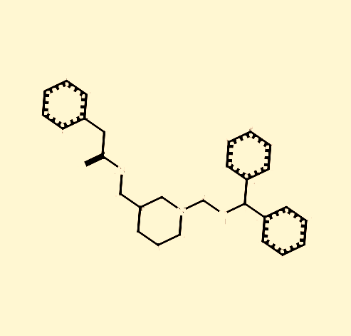 O=C(Cc1ccccc1)NCC1CCCN(CBC(c2ccccc2)c2ccccc2)C1